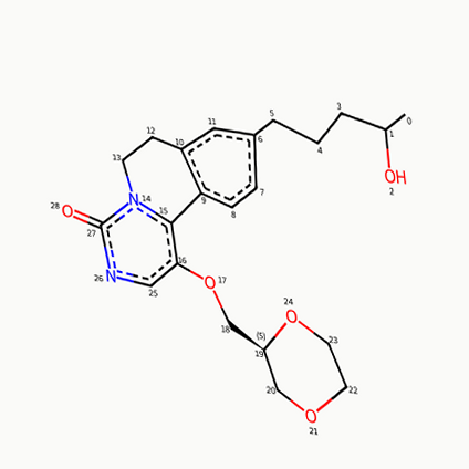 CC(O)CCCc1ccc2c(c1)CCn1c-2c(OC[C@@H]2COCCO2)cnc1=O